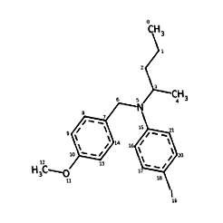 CCCC(C)N(Cc1ccc(OC)cc1)c1ccc(I)cc1